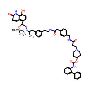 CC(Cc1cccc(CCNC(=O)Cc2ccc(CNC(=O)CCN3CCC(OC(=O)Nc4ccccc4-c4ccccc4)CC3)cc2)c1)NCC(O[Si](C)(C)C(C)(C)C)c1ccc(O)c2[nH]c(=O)ccc12